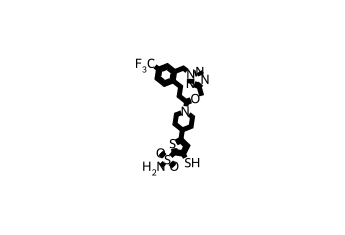 Cc1nnn(Cc2cc(C(F)(F)F)ccc2CCC(=O)N2CCC(c3cc(S)c(S(N)(=O)=O)s3)CC2)n1